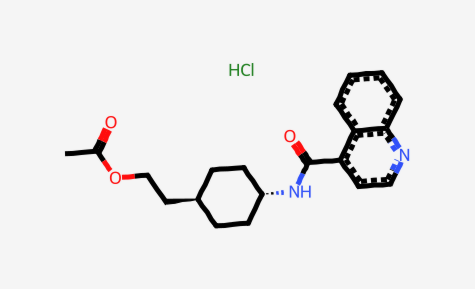 CC(=O)OCC[C@H]1CC[C@H](NC(=O)c2ccnc3ccccc23)CC1.Cl